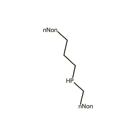 CCCCCCCCCCCCPCCCCCCCCCC